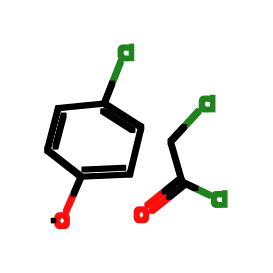 O=C(Cl)CCl.[O]c1ccc(Cl)cc1